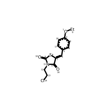 CCOc1ccc(/C=C2\SC(=O)N(CCCl)C2=O)cc1